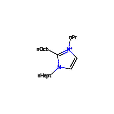 CCCCCCCCc1n(CCCCCCC)cc[n+]1CCC